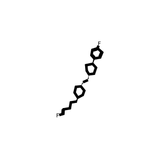 F/C=C/CCC[C@H]1CC[C@H](CC[C@H]2CC[C@H](c3ccc(F)cc3)CC2)CC1